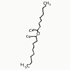 CCCCCCCC[CH]([Ce])O[CH]([Ce])CCCCCCCC